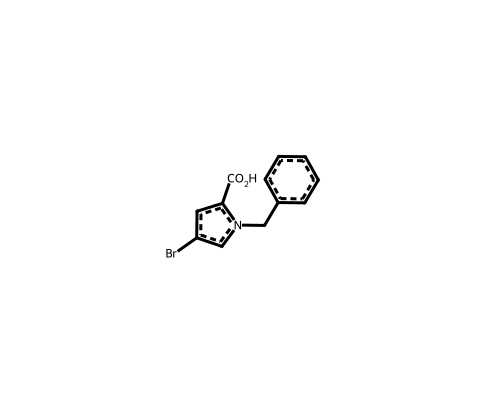 O=C(O)c1cc(Br)cn1Cc1ccccc1